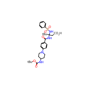 CC(C)(C)OC(=O)NC1CCN(c2ccc(C(=O)NC(CC(=O)O)(NS(=O)(=O)c3ccccc3)C(C)(C)C)cc2)CC1